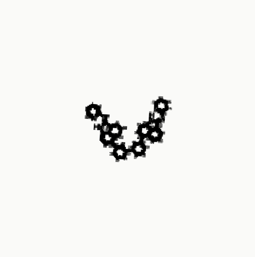 c1ccc(/N=C2\Nc3ccc(-c4cccc(-c5cccc(-c6ccc7c8c(cccc68)/C(=N/c6ccccn6)N7)c5)c4)c4cccc2c34)nc1